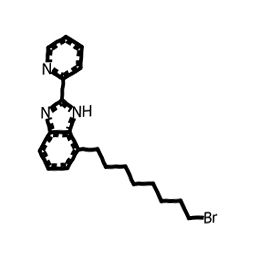 BrCCCCCCCCc1cccc2nc(-c3ccccn3)[nH]c12